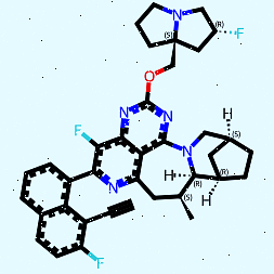 C#Cc1c(F)ccc2cccc(-c3nc4c5c(nc(OC[C@@]67CCCN6C[C@H](F)C7)nc5c3F)N3C[C@H]5CC[C@H](C5)[C@H]3[C@@H](C)C4)c12